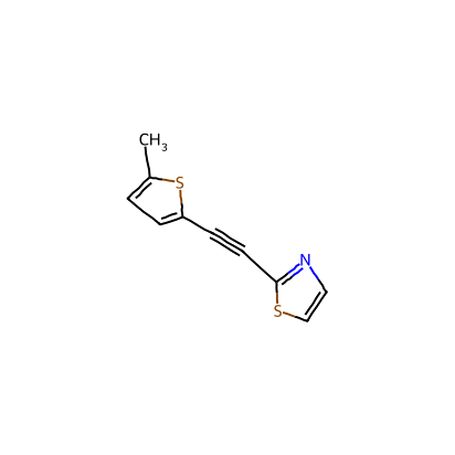 Cc1ccc(C#Cc2nccs2)s1